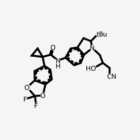 CC(C)(C)C1Cc2cc(NC(=O)C3(c4ccc5c(c4)OC(F)(F)O5)CC3)ccc2N1CC(O)CC#N